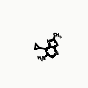 Cc1nc2c(C3CC3)c(N)cnc2s1